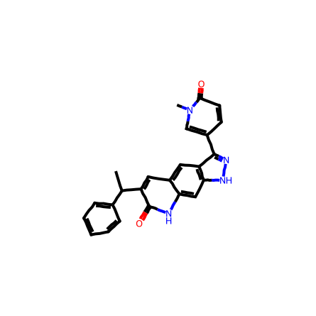 CC(c1ccccc1)c1cc2cc3c(-c4ccc(=O)n(C)c4)n[nH]c3cc2[nH]c1=O